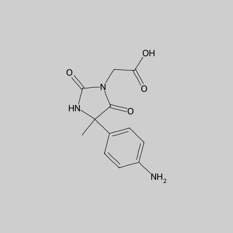 CC1(c2ccc(N)cc2)NC(=O)N(CC(=O)O)C1=O